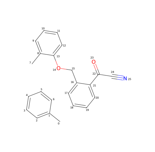 Cc1ccccc1.Cc1ccccc1OCc1ccccc1C(=O)C#N